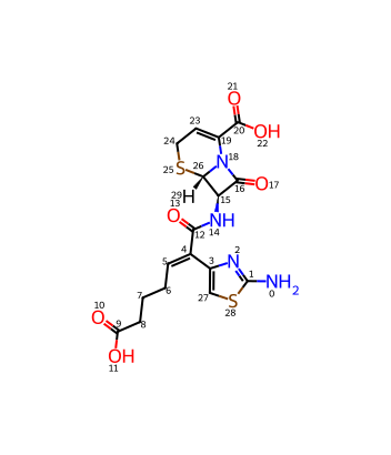 Nc1nc(C(=CCCCC(=O)O)C(=O)N[C@@H]2C(=O)N3C(C(=O)O)=CCS[C@@H]23)cs1